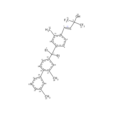 CCC(CC)(c1ccc(/C=C/C(O)(C(F)(F)F)C(F)(F)F)c(C)c1)c1ccc(-c2cncc(C)c2)c(C)c1